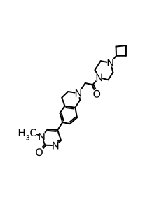 Cn1cc(-c2ccc3c(c2)CCN(CC(=O)N2CCN(C4CCC4)CC2)C3)cnc1=O